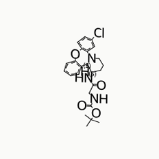 CC(C)(C)OC(=O)NCC(=O)N[C@H]1CCCN2c3cc(Cl)ccc3Oc3ccccc3[C@@H]12